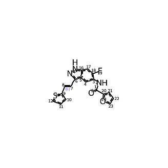 O=C(Nc1cc2c(/C=C/c3cccs3)n[nH]c2cc1F)c1ccco1